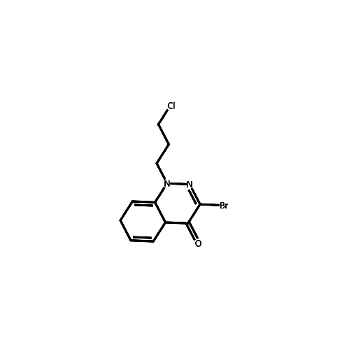 O=C1C(Br)=NN(CCCCl)C2=CCC=CC12